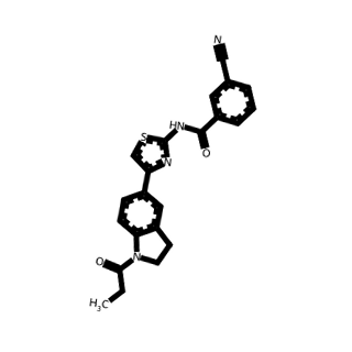 CCC(=O)N1CCc2cc(-c3csc(NC(=O)c4cccc(C#N)c4)n3)ccc21